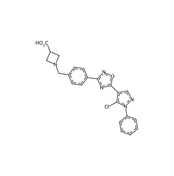 O=C(O)C1CN(Cc2ccc(-c3noc(-c4cnn(-c5ccccc5)c4Cl)n3)cc2)C1